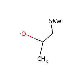 [CH2]SCC(C)[O]